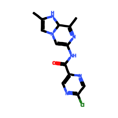 CC1=CN2C=C(NC(=O)c3cnc(Cl)cn3)N=C(C)C2N1